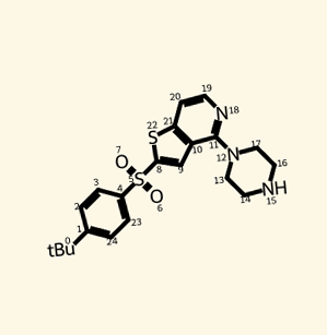 CC(C)(C)c1ccc(S(=O)(=O)c2cc3c(N4CCNCC4)nccc3s2)cc1